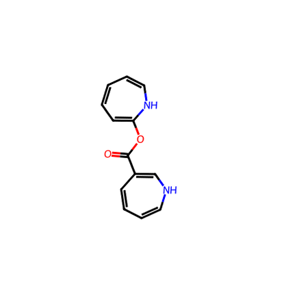 O=C(OC1=CC=CC=CN1)C1=CNC=CC=C1